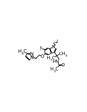 CC(=O)NCC(C)(C)c1cn(SI)c2cc(F)c(OCCn3ccc(C)n3)cc12